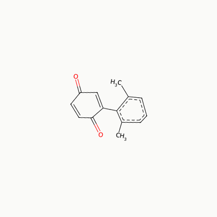 Cc1cccc(C)c1C1=CC(=O)C=CC1=O